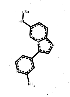 CCCCNc1ccc2ncc(-c3ccnc(N)c3)n2n1